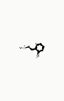 COCCc1ccccc1Cl